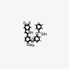 COc1ccc(-c2cc3cc(F)c(F)cc3[nH]2)cc1Nc1cccc(OCc2ccccc2)c1.Cl